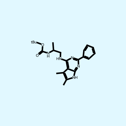 Cc1[nH]c2nc(-c3ccccc3)nc(NCC(C)NC(=O)OC(C)(C)C)c2c1C